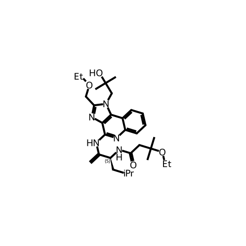 C=C(Nc1nc2ccccc2c2c1nc(COCC)n2CC(C)(C)O)[C@H](CC(C)C)NC(=O)CC(C)(C)OCC